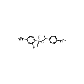 CCCc1ccc(C(C)OC(F)(F)c2ccc(CCC)cc2F)cc1